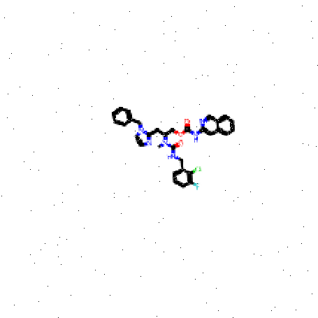 CN(C(=O)NCc1cccc(F)c1Cl)C(COC(=O)Nc1cc2ccccc2cn1)Cc1nccn1Cc1ccccc1